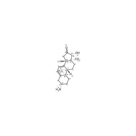 C[C@]12CC[C@H]3C(=CC=C4C[C@@H](N)CC[C@@]43C)[C@@H]1CC(=O)[C@@H]2O